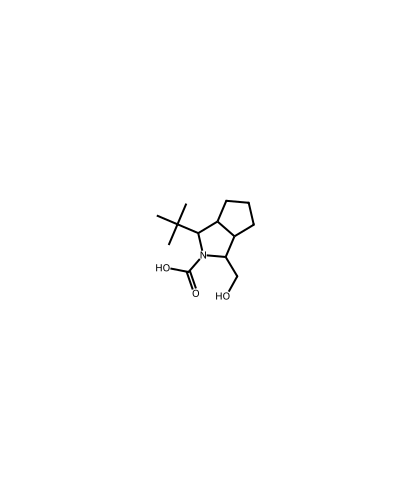 CC(C)(C)C1C2CCCC2C(CO)N1C(=O)O